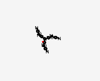 N#Cc1ccc(-c2cnc(-c3ccc(-c4cc(-c5ccc(-c6ncc(-c7ccc(C#N)cc7)o6)cc5)cc(-c5ccc(-c6ncc(-c7ccc(C#N)cc7)o6)cc5)c4)cc3)o2)cc1